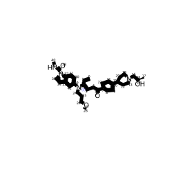 C=C/C(=C\CC(=O)c1ccc(C2CCN(C[C@@H](C)O)CC2)cc1)N(CCCOC)c1ccc2c(ccn2C(=O)NC)c1